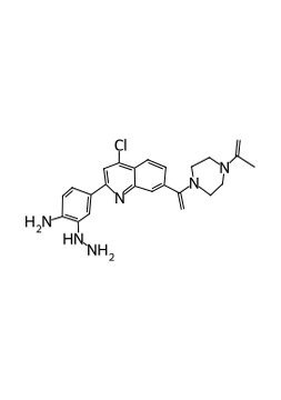 C=C(C)N1CCN(C(=C)c2ccc3c(Cl)cc(-c4ccc(N)c(NN)c4)nc3c2)CC1